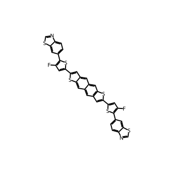 Fc1cc(-c2cc3cc4cc5sc(-c6cc(F)c(-c7ccc8ncsc8c7)s6)cc5cc4cc3s2)sc1-c1ccc2ncsc2c1